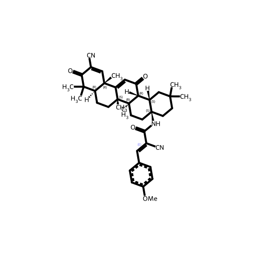 COc1ccc(/C=C(\C#N)C(=O)N[C@]23CCC(C)(C)C[C@H]2[C@H]2C(=O)C=C4[C@@]5(C)C=C(C#N)C(=O)C(C)(C)[C@@H]5CC[C@@]4(C)[C@]2(C)CC3)cc1